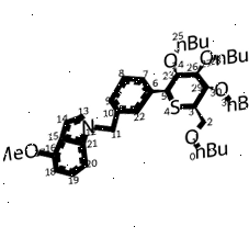 CCCCOC[C@H]1S[C@@H](c2cccc(Cn3ccc4c(OC)cccc43)c2)[C@H](OCCCC)[C@@H](OCCCC)[C@@H]1OCCCC